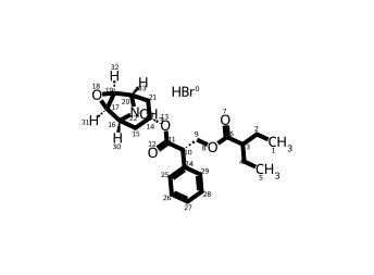 Br.CCC(CC)C(=O)OC[C@@H](C(=O)O[C@@H]1C[C@@H]2[C@H]3O[C@H]3[C@H](C1)N2C)c1ccccc1